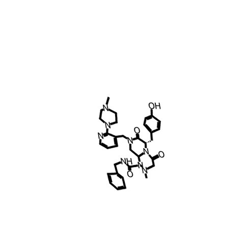 CN1CCN(c2ncccc2CN2CC3N(C(=O)CN(C)N3C(=O)NCc3ccccc3)[C@@H](Cc3ccc(O)cc3)C2=O)CC1